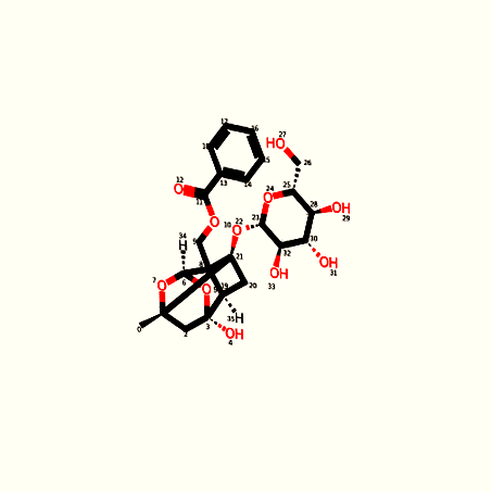 C[C@@]12C[C@@]3(O)O[C@@H](O1)C1(COC(=O)c4ccccc4)[C@H]3C[C@@]12O[C@@H]1O[C@H](CO)[C@@H](O)[C@H](O)[C@H]1O